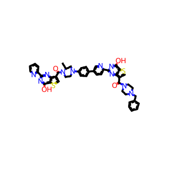 CC1CN(c2ccc(-c3ccc(-c4nc(O)c5scc(C(=O)N6CCN(Cc7ccccc7)CC6)c5n4)nc3)cc2)CCN1C(=O)c1csc2c(O)nc(-c3ccccn3)nc12